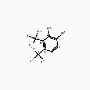 Fc1ccc(C(F)(F)F)c(C(F)(F)F)c1F